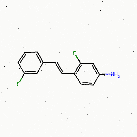 Nc1ccc(/C=C/c2cccc(F)c2)c(F)c1